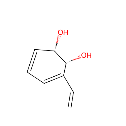 C=CC1=CC=C[C@H](O)[C@@H]1O